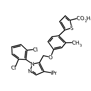 Cc1cc(OCc2c(C(C)C)cnn2-c2c(Cl)cccc2Cl)ccc1-c1ccc(C(=O)O)s1